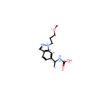 COCCCn1ncc2ccc(C(C)NC(=O)O)cc21